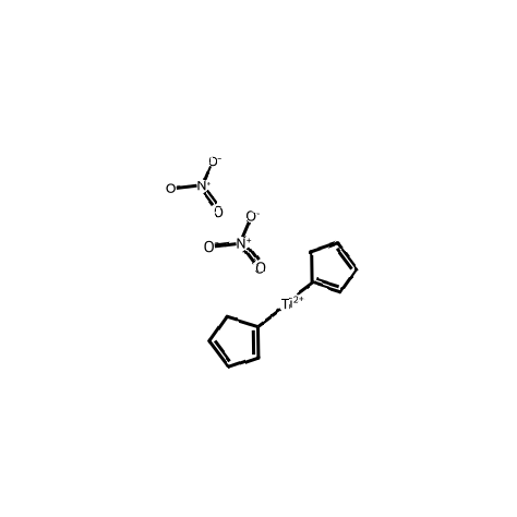 C1=CC[C]([Ti+2][C]2=CC=CC2)=C1.O=[N+]([O-])[O-].O=[N+]([O-])[O-]